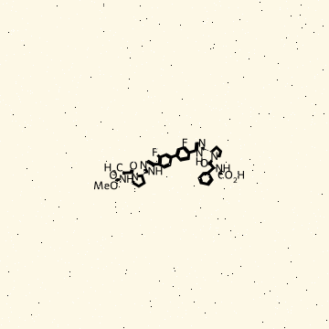 COC(=O)N[C@@H](C)C(=O)N1CCC[C@H]1c1ncc(-c2ccc(-c3ccc(-c4cnc([C@@H]5CCCN5C(=O)[C@H](NC(=O)O)c5ccccc5)[nH]4)c(F)c3)cc2F)[nH]1